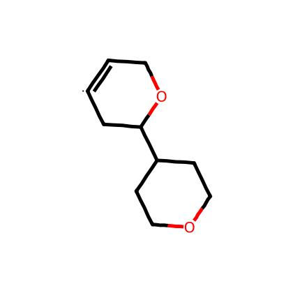 [C]1=CCOC(C2CCOCC2)C1